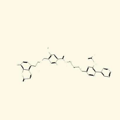 COc1cc(C(=O)NCCCCc2ccc(-c3ccccc3)c(NC(=O)O)c2)c(Cl)cc1CNC[C@H](O)c1ccc(O)c2[nH]c(=O)ccc12